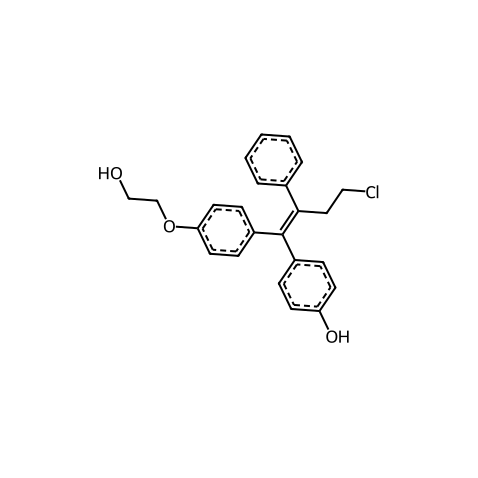 OCCOc1ccc(C(=C(CCCl)c2ccccc2)c2ccc(O)cc2)cc1